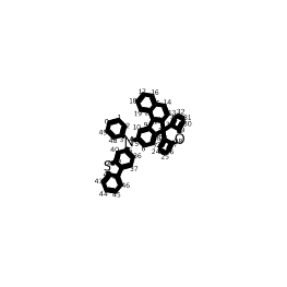 c1ccc(N(c2ccc3c(c2)-c2c(ccc4ccccc24)C32c3ccccc3Oc3ccccc32)c2ccc3c(c2)sc2ccccc23)cc1